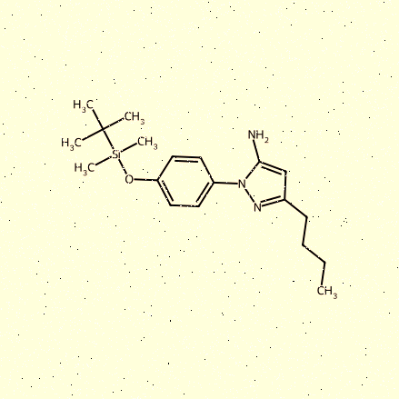 CCCCc1cc(N)n(-c2ccc(O[Si](C)(C)C(C)(C)C)cc2)n1